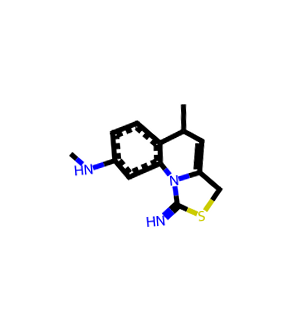 CNc1ccc2c(c1)N1C(=N)SCC1=CC2C